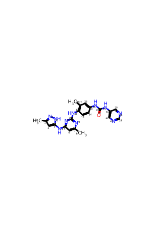 Cc1cc(Nc2cc(C)nc(Nc3ccc(NC(=O)Nc4cncnc4)cc3C)n2)[nH]n1